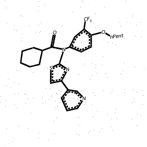 CCCCCOc1ccc(N(C(=O)C2CCCCC2)c2nc(-c3cccnc3)cs2)cc1C(F)(F)F